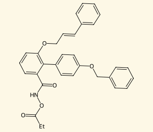 CCC(=O)ONC(=O)c1cccc(OCC=Cc2ccccc2)c1-c1ccc(OCc2ccccc2)cc1